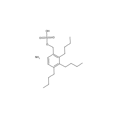 CCCCc1ccc(COS(=O)(=O)O)c(CCCC)c1CCCC.N